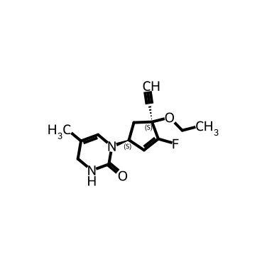 C#C[C@@]1(OCC)C[C@H](N2C=C(C)CNC2=O)C=C1F